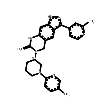 C=C1Nc2cc3[nH]nc(-c4ccnc(C)c4)c3cc2CN1[C@@H]1CCCN(c2ccc(C)cn2)C1